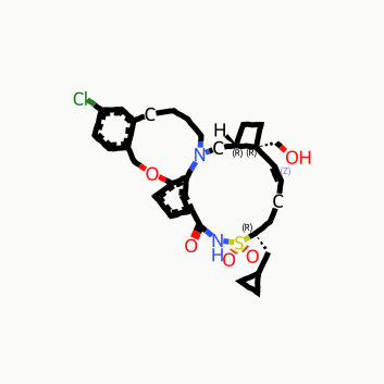 O=C1NS(=O)(=O)[C@@H](CC2CC2)CC/C=C\[C@]2(CO)CC[C@H]2CN2CCCCc3cc(Cl)ccc3COc3ccc1cc32